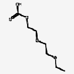 CCOCCOCCOC(=O)O